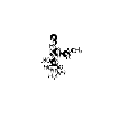 CNNC(=O)[C@H]1O[C@@H](n2cnc3c(NCc4ccccn4)nc(-c4cncc(OC)c4)nc32)[C@H](O)[C@@H]1O